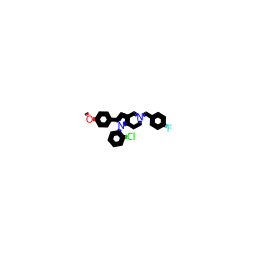 COc1ccc(-c2cc3c(n2-c2ccccc2Cl)CCN(Cc2ccc(F)cc2)C3)cc1